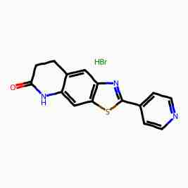 Br.O=C1CCc2cc3nc(-c4ccncc4)sc3cc2N1